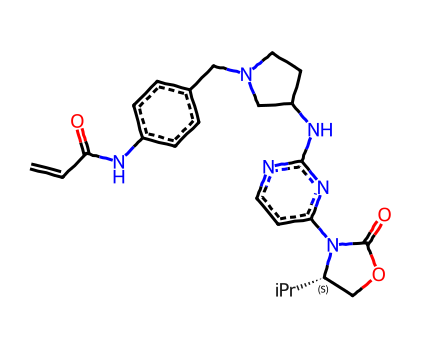 C=CC(=O)Nc1ccc(CN2CCC(Nc3nccc(N4C(=O)OC[C@@H]4C(C)C)n3)C2)cc1